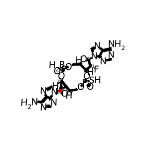 BP1(=O)OC[C@H]2O[C@@H](n3cnc4c(N)ncnc43)[C@H](F)[C@@H]2OP(=O)(S)OC[C@H]2O[C@@H](n3cnc4c(N)ncnc43)[C@H](O1)[C@H]2F